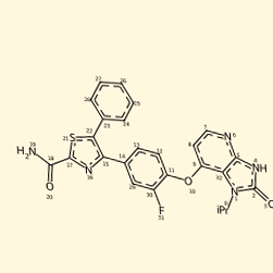 CC(C)n1c(=O)[nH]c2nccc(Oc3ccc(-c4nc(C(N)=O)sc4-c4ccccc4)cc3F)c21